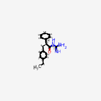 CCc1ccc(C[C@H](C(=O)NC(=N)N)c2ccccc2)cc1